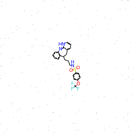 O=S(=O)(NCCCC1CC2=CC=CNC2=Nc2ccccc21)c1ccc(OC(F)(F)F)cc1